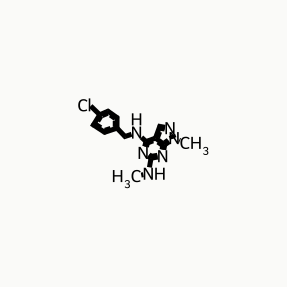 CNc1nc(NCc2ccc(Cl)cc2)c2cnn(C)c2n1